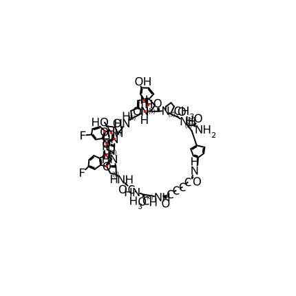 C[C@@H]1NC(=O)CCCCC(=O)NCc2ccc(cc2)C[C@@H](C(N)=O)NC(=O)[C@]2(C)CCCN2C(=O)[C@H](Cc2ccc(O)cc2)NC(=O)[C@H](Cc2cnc[nH]2)NC(=O)[C@H](CC(=O)O)NC(=O)[C@H](Cc2c[nH]c3ccc(F)cc23)NC(=O)[C@H](Cc2c[nH]c3ccc(F)cc23)NC(=O)CNC1=O